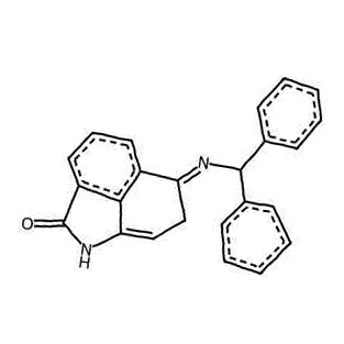 O=C1NC2=CCC(=NC(c3ccccc3)c3ccccc3)c3cccc1c32